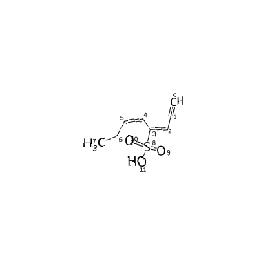 C#C/C=C(\C=C/CC)S(=O)(=O)O